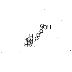 CC(C)(C)OC(=O)NC(CO)Cc1ccc(OCc2ccc(C(=O)O)cc2)cc1